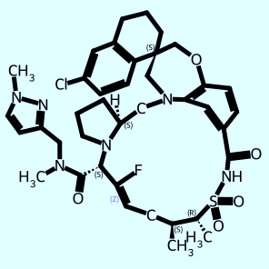 C[C@@H]1[C@@H](C)C/C=C(\F)[C@H](C(=O)N(C)Cc2ccn(C)n2)N2CCC[C@H]2CN2C[C@@]3(CCCc4cc(Cl)ccc43)COc3ccc(cc32)C(=O)NS1(=O)=O